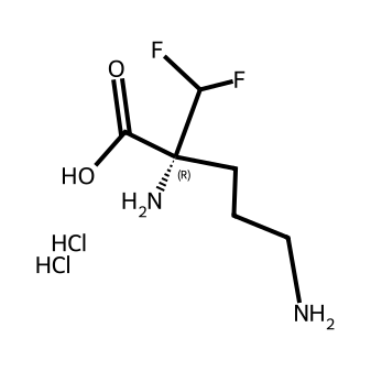 Cl.Cl.NCCC[C@@](N)(C(=O)O)C(F)F